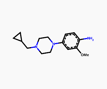 COc1cc(N2CCN(CC3CC3)CC2)ccc1N